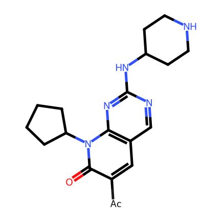 CC(=O)c1cc2cnc(NC3CCNCC3)nc2n(C2CCCC2)c1=O